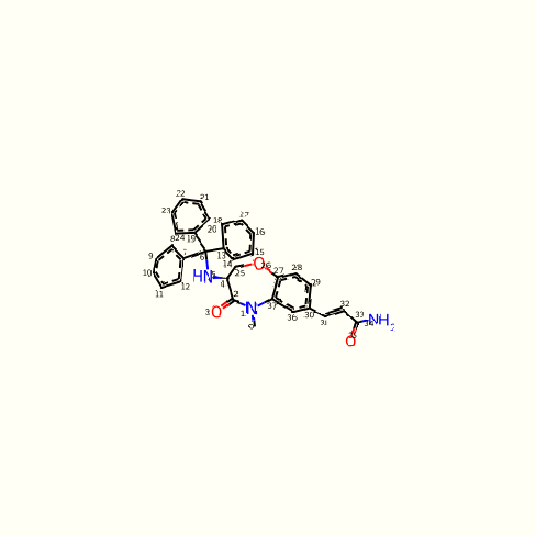 CN1C(=O)[C@@H](NC(c2ccccc2)(c2ccccc2)c2ccccc2)COc2ccc(/C=C/C(N)=O)cc21